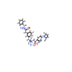 Cc1ccc(C)n1-c1ccc([C@H](O)CNC(C)(C)Cc2cccc(CC(=O)NCc3ccccc3)c2)cn1